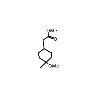 COC(=O)CC1CCC(C)(OC)CC1